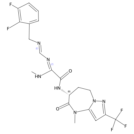 CN/C(=N\C=N\Cc1cccc(F)c1F)C(=O)N[C@@H]1CCn2nc(C(F)(F)F)cc2N(C)C1=O